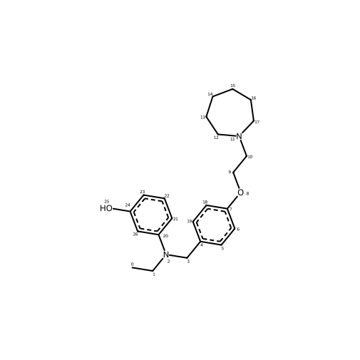 CCN(Cc1ccc(OCCN2CCCCCC2)cc1)c1cccc(O)c1